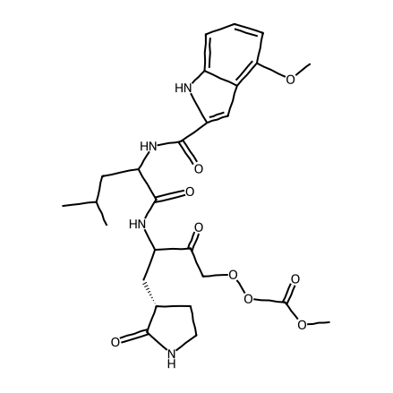 COC(=O)OOCC(=O)C(C[C@@H]1CCNC1=O)NC(=O)C(CC(C)C)NC(=O)c1cc2c(OC)cccc2[nH]1